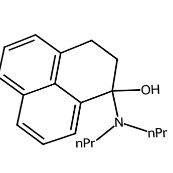 CCCN(CCC)C1(O)CCc2cccc3cccc1c23